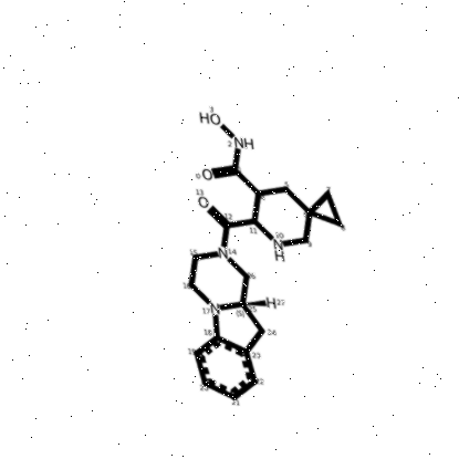 O=C(NO)C1CC2(CC2)CNC1C(=O)N1CCN2c3ccccc3C[C@H]2C1